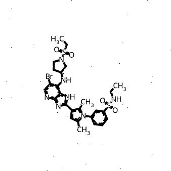 CCNS(=O)(=O)c1cccc(-n2c(C)cc(-c3nc4ncc(Br)c(NC5CCN(S(=O)(=O)CC)C5)c4[nH]3)c2C)c1